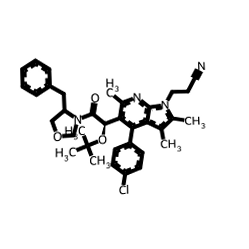 Cc1nc2c(c(C)c(C)n2CCC#N)c(-c2ccc(Cl)cc2)c1[C@@H](OC(C)(C)C)C(=O)N1COCC1Cc1ccccc1